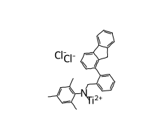 Cc1cc(C)c([N]([Ti+2])Cc2ccccc2-c2cccc3c2Cc2ccccc2-3)c(C)c1.[Cl-].[Cl-]